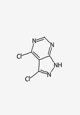 Clc1ncnc2[nH]nc(Cl)c12